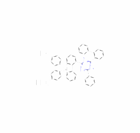 Cc1ccc([Si]2(c3ccc(C)cc3)c3ccccc3-c3c(-c4nc(-c5ccccc5)nc(-c5ccccc5-c5ccccc5)n4)cccc32)cc1